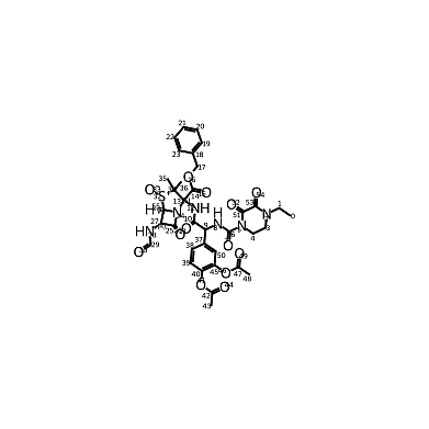 CCN1CCN(C(=O)NC(C(=O)N[C@@]2(C(=O)OCc3ccccc3)N3C(=O)[C@@H](NC=O)[C@H]3[S+]([O-])C2(C)C)c2ccc(OC(C)=O)c(OC(C)=O)c2)C(=O)C1=O